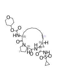 O=C(N[C@H]1CCCCC/C=C\[C@@H]2C[C@@]2(C(=O)NS(=O)(=O)C2CC2)NC(=O)[C@@H]2C[C]CN2C1=O)OC1CCOCC1